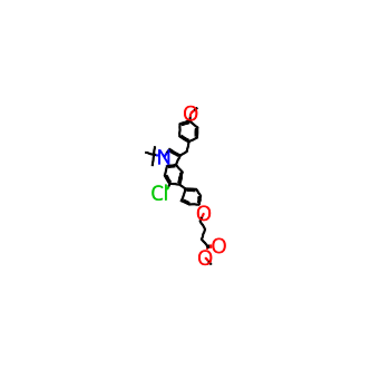 COC(=O)CCCOc1ccc(-c2cc3c(Cc4ccc(OC)cc4)cn(C(C)(C)C)c3cc2Cl)cc1